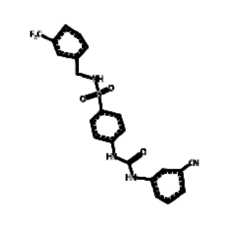 N#Cc1cccc(NC(=O)Nc2ccc(S(=O)(=O)NCc3cccc(C(F)(F)F)c3)cc2)c1